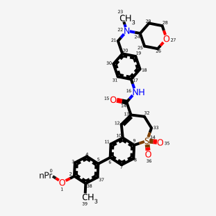 CCCOc1ccc(-c2ccc3c(c2)C=C(C(=O)Nc2ccc(CN(C)C4CCOCC4)cc2)CCS3(=O)=O)cc1C